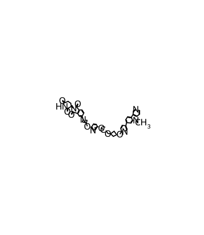 Cn1c2ccncc2c2ccc(-c3ccc(OC4CC(OCCOc5ccc(OC6CN(c7ccc8c(c7)C(=O)N(C7CCC(=O)NC7=O)C8=O)C6)nc5)C4)nc3)cc21